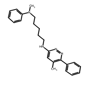 Cc1cc(NCCCCCN(C)c2ccccc2)nnc1-c1ccccc1